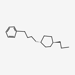 CCC[C@H]1CC[C@H](CCCCc2ccccc2)CC1